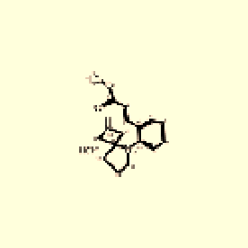 COC(=O)C=Cc1ccccc1N1CCCC12CNC2.Cl